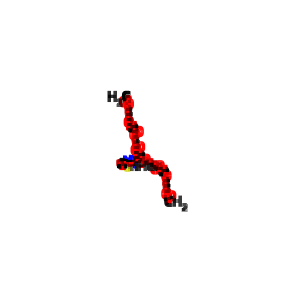 C=CC(=O)OCCCCCCOc1ccc(OC(=O)CCCCOC(=O)c2ccc(OC(=O)CCCCOC(=O)c3ccc(OCCCCCCOC(=O)C=C)cc3)cc2/C=N/N(CCCCCC)c2nc3ccccc3s2)cc1